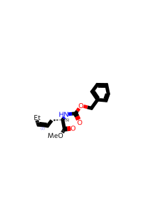 CC/C=C\C[C@H](NC(=O)OCc1ccccc1)C(=O)OC